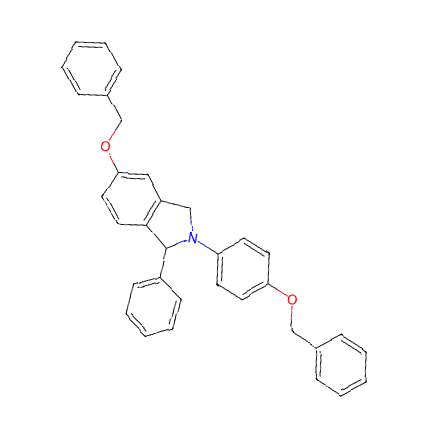 c1ccc(COc2ccc(N3Cc4cc(OCc5ccccc5)ccc4C3c3ccccc3)cc2)cc1